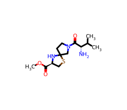 COC(=O)[C@@H]1CSC2(CCN(C(=O)[C@@H](N)C(C)C)C2)N1